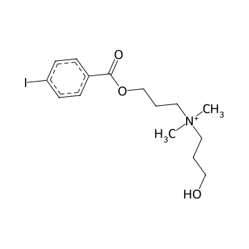 C[N+](C)(CCCO)CCCOC(=O)c1ccc(I)cc1